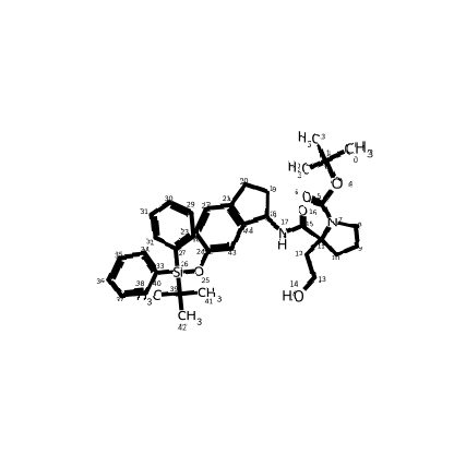 CC(C)(C)OC(=O)N1CCCC1(CCO)C(=O)NC1CCc2ccc(O[Si](c3ccccc3)(c3ccccc3)C(C)(C)C)cc21